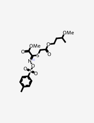 COC(=O)/C(=N/OS(=O)(=O)c1ccc(C)cc1)SCC(=O)OCCC(C)OC